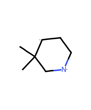 CC1(C)[CH]CC[N]C1